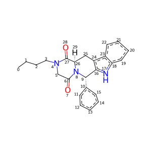 CCCCN1CC(=O)N2[C@@H](c3ccccc3)c3[nH]c4ccccc4c3C[C@@H]2C1=O